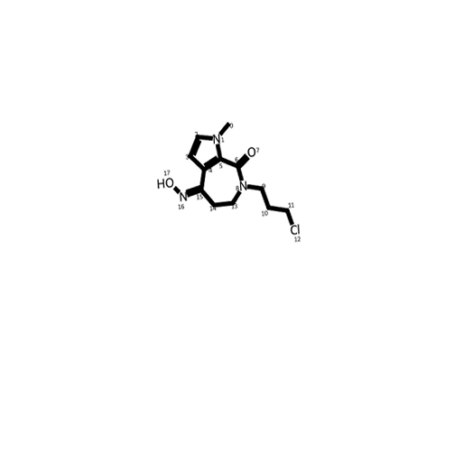 Cn1ccc2c1C(=O)N(CCCCl)CC/C2=N/O